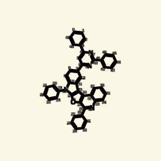 c1ccc(-c2cc(-c3ccc4c(c3)c3c5c(oc3n4-c3ccccc3)c(-c3ccccc3)nc3ccccc35)nc(-c3ccccc3)n2)cc1